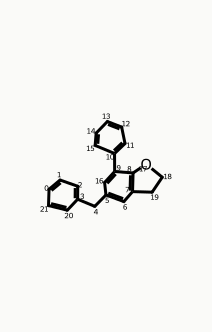 c1ccc(Cc2cc3c(c(-c4ccccc4)c2)OCC3)cc1